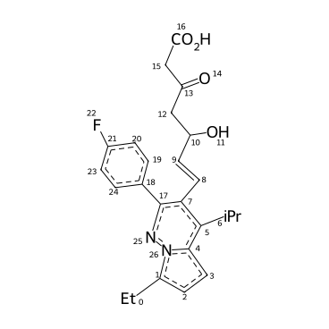 CCc1ccc2c(C(C)C)c(/C=C/C(O)CC(=O)CC(=O)O)c(-c3ccc(F)cc3)nn12